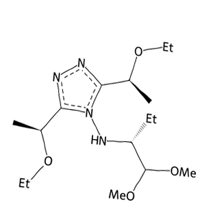 CCO[C@@H](C)c1nnc([C@H](C)OCC)n1N[C@H](CC)C(OC)OC